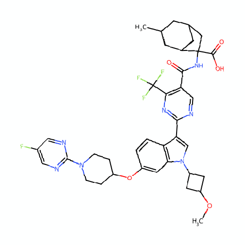 COC1CC(n2cc(-c3ncc(C(=O)NC4(C(=O)O)CC5CC(C)CC4C5)c(C(F)(F)F)n3)c3ccc(OC4CCN(c5ncc(F)cn5)CC4)cc32)C1